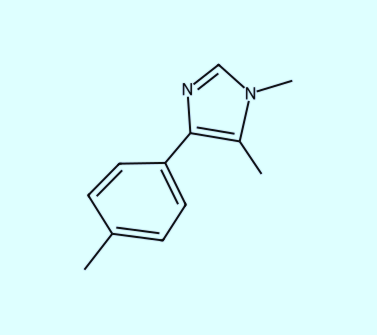 Cc1ccc(-c2ncn(C)c2C)cc1